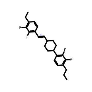 CCCc1ccc(C2CCC(/C=C/c3ccc(CC)c(F)c3F)CC2)c(F)c1F